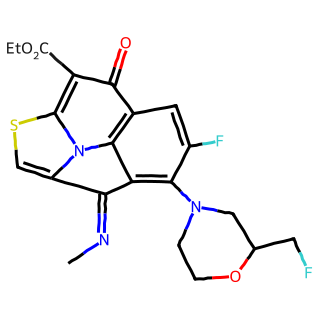 CCOC(=O)c1c(=O)c2cc(F)c(N3CCOC(CF)C3)c3c(=NC)c4csc1n4c23